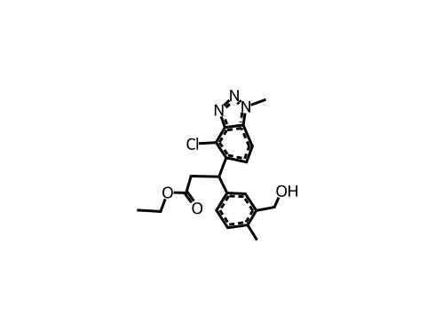 CCOC(=O)CC(c1ccc(C)c(CO)c1)c1ccc2c(nnn2C)c1Cl